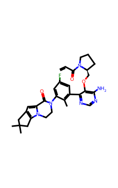 C=CC(=O)N1CCC[C@H]1COc1c(N)ncnc1-c1cc(F)cc(N2CCn3c(cc4c3CC(C)(C)C4)C2=O)c1C